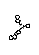 c1ccc(-c2nc(-c3ccc4ccccc4c3)nc(-c3ccc4c(c3)oc3c5ccccc5ccc43)n2)cc1